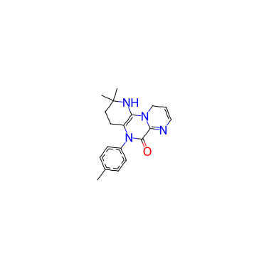 Cc1ccc(N2C(=O)C3=NC=CCN3C3=C2CCC(C)(C)N3)cc1